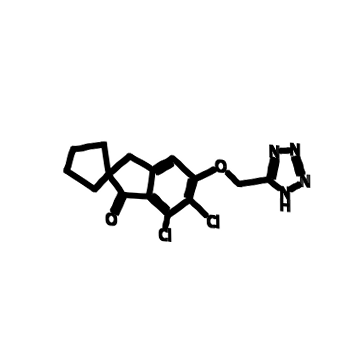 O=C1c2c(cc(OCc3nnn[nH]3)c(Cl)c2Cl)CC12CCCC2